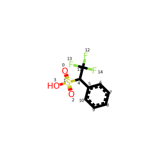 O=S(=O)(O)C(c1ccccc1)C(F)(F)F